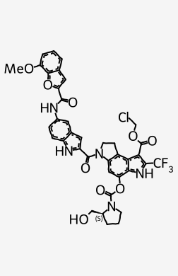 COc1cccc2cc(C(=O)Nc3ccc4[nH]c(C(=O)N5CCc6c5cc(OC(=O)N5CCC[C@H]5CO)c5[nH]c(C(F)(F)F)c(C(=O)OCCl)c65)cc4c3)oc12